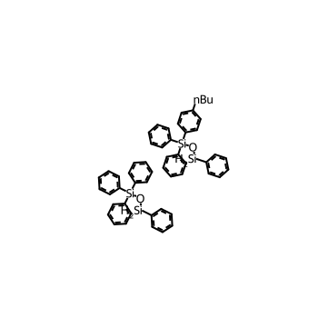 CCCCc1ccc([Si](O[SiH2]c2ccccc2)(c2ccccc2)c2ccccc2)cc1.c1ccc([SiH2]O[Si](c2ccccc2)(c2ccccc2)c2ccccc2)cc1